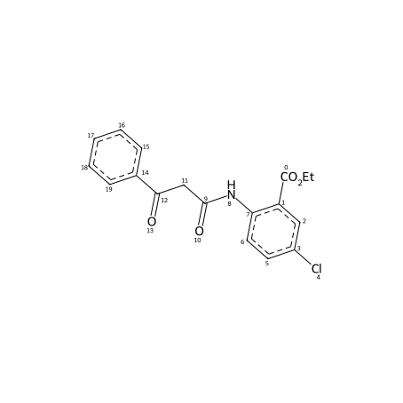 CCOC(=O)c1cc(Cl)ccc1NC(=O)CC(=O)c1ccccc1